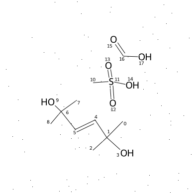 CC(C)(O)C=CC(C)(C)O.CS(=O)(=O)O.O=CO